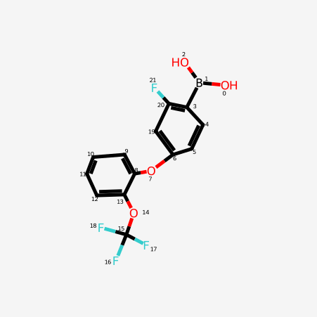 OB(O)c1ccc(Oc2ccccc2OC(F)(F)F)cc1F